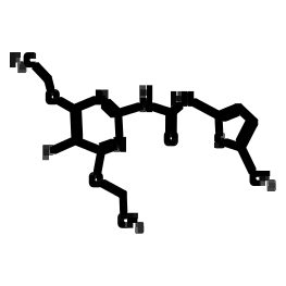 O=C(Nc1nc(OCC(F)(F)F)c(F)c(OCC(F)(F)F)n1)Nc1ccc(C(F)(F)F)s1